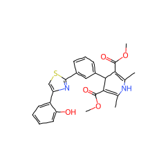 COC(=O)C1=C(C)NC(C)=C(C(=O)OC)C1c1cccc(-c2nc(-c3ccccc3O)cs2)c1